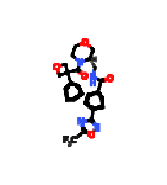 O=C(NC[C@H]1COCCN1C(=O)C1(c2ccccc2)COC1)c1ccc(-c2noc(C(F)(F)F)n2)cc1